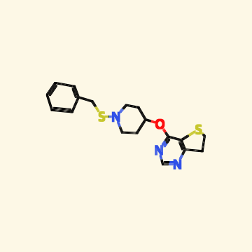 c1ccc(CSN2CCC(Oc3ncnc4c3SCC4)CC2)cc1